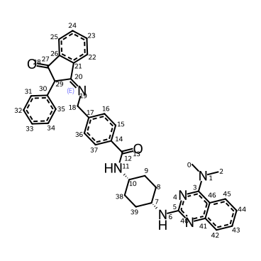 CN(C)c1nc(N[C@H]2CC[C@@H](NC(=O)c3ccc(C/N=C4/c5ccccc5C(=O)C4c4ccccc4)cc3)CC2)nc2ccccc12